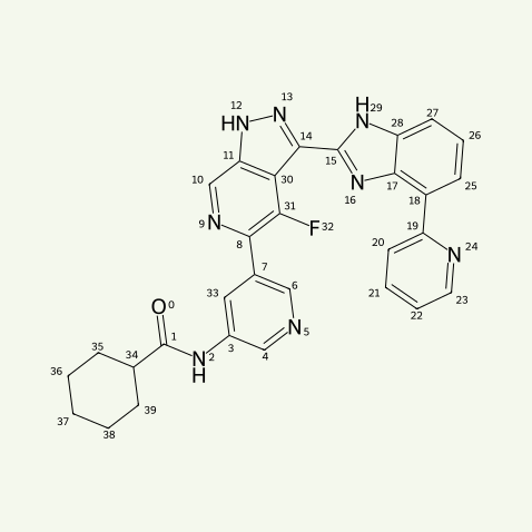 O=C(Nc1cncc(-c2ncc3[nH]nc(-c4nc5c(-c6ccccn6)cccc5[nH]4)c3c2F)c1)C1CCCCC1